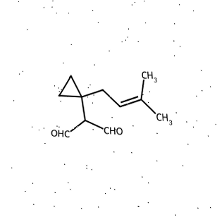 CC(C)=CCC1(C(C=O)C=O)CC1